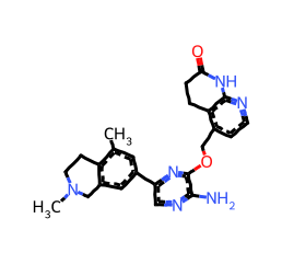 Cc1cc(-c2cnc(N)c(OCc3ccnc4c3CCC(=O)N4)n2)cc2c1CCN(C)C2